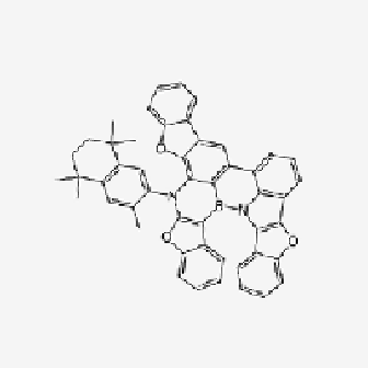 Cc1cc2c(cc1N1c3oc4ccccc4c3B3c4c(cc5c(oc6ccccc65)c41)-c1cccc4c5oc6ccccc6c5n3c14)C(C)(C)CCC2(C)C